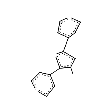 N#Cc1cc(-c2ccncc2)sc1-c1ccncc1